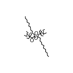 CCCCCCCCCCCC(OC(CCCCCCCCCCC)C(=O)C(CC)(CC)N(CC)CC)C(=O)C(CC)(CC)N(CC)CC